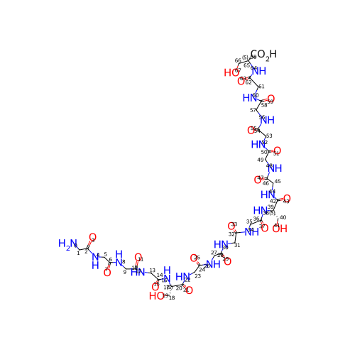 NCC(=O)NCC(=O)NCC(=O)NCC(=O)N[C@@H](CO)C(=O)NCC(=O)NCC(=O)NCC(=O)NCC(=O)N[C@@H](CO)C(=O)NCC(=O)NCC(=O)NCC(=O)NCC(=O)NCC(=O)N[C@@H](CO)C(=O)O